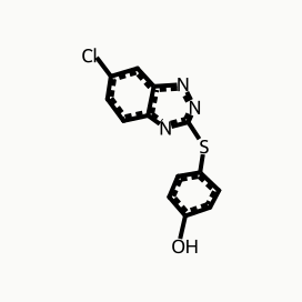 Oc1ccc(Sc2nnc3cc(Cl)ccc3n2)cc1